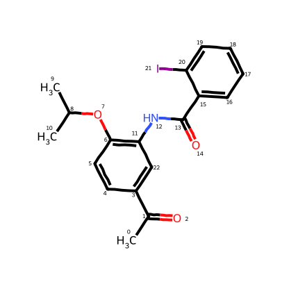 CC(=O)c1ccc(OC(C)C)c(NC(=O)c2ccccc2I)c1